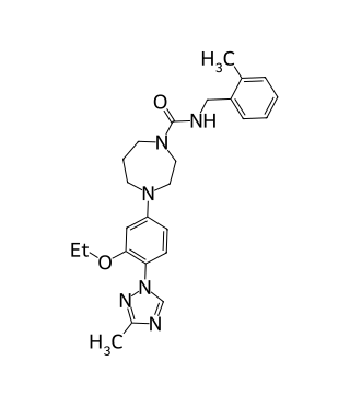 CCOc1cc(N2CCCN(C(=O)NCc3ccccc3C)CC2)ccc1-n1cnc(C)n1